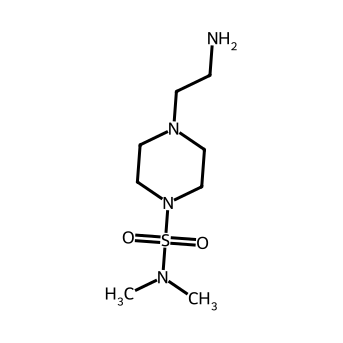 CN(C)S(=O)(=O)N1CCN(CCN)CC1